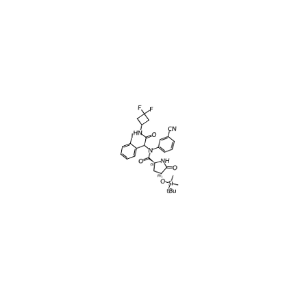 CC(C)(C)[Si](C)(C)O[C@@H]1C[C@@H](C(=O)N(c2cccc(C#N)c2)C(C(=O)NC2CC(F)(F)C2)c2ccccc2I)NC1=O